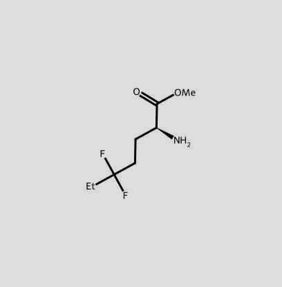 CCC(F)(F)CC[C@H](N)C(=O)OC